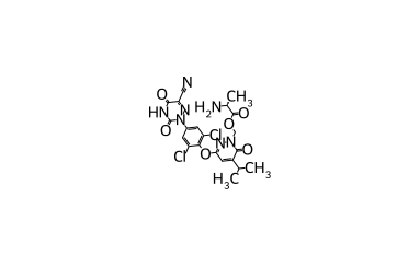 CC(C)c1cc(Oc2c(Cl)cc(-n3nc(C#N)c(=O)[nH]c3=O)cc2Cl)nn(COC(=O)[C@H](C)N)c1=O